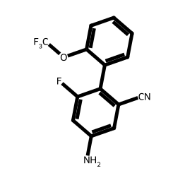 N#Cc1cc(N)cc(F)c1-c1ccccc1OC(F)(F)F